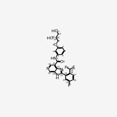 O=C(Nc1cccc(OC[C@H](O)CO)c1)c1cncc2[nH]c(-c3cc(F)ccc3C(F)F)nc12